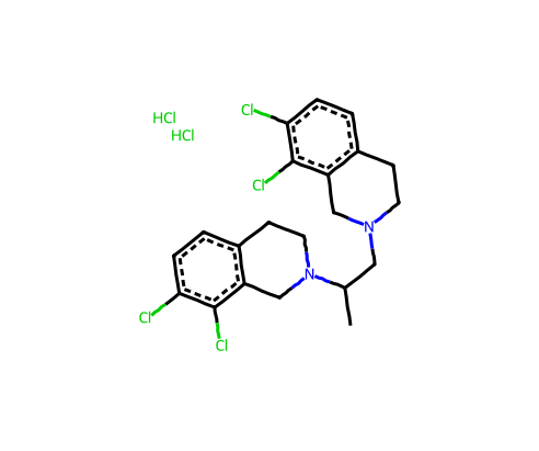 CC(CN1CCc2ccc(Cl)c(Cl)c2C1)N1CCc2ccc(Cl)c(Cl)c2C1.Cl.Cl